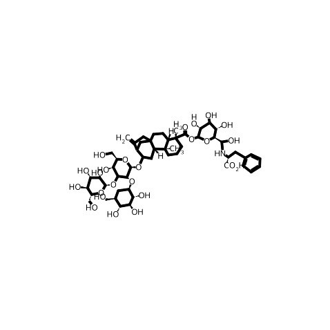 C=C1CC23CC[C@H]4[C@@](C)(CCC[C@@]4(C)C(=O)OC4O[C@H](C(O)N[C@H](Cc5ccccc5)C(=O)O)[C@@H](O)C(O)[C@H]4O)[C@@H]2CC(O[C@@H]2O[C@H](CO)[C@@H](O)C(O[C@@H]4O[C@H](CO)[C@@H](O)[C@H](O)[C@H]4O)[C@H]2O[C@@H]2C[C@H](CO)[C@@H](O)[C@H](O)[C@H]2O)C1C3